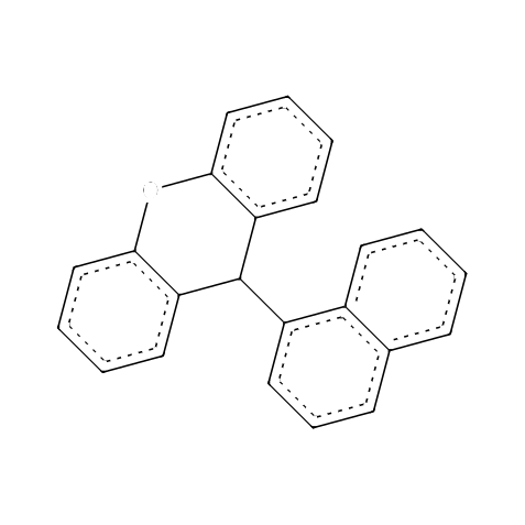 c1ccc2c(c1)Oc1ccccc1C2c1cccc2ccccc12